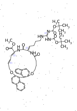 COC(=O)/C1=C/C=C/COc2ccc3ccccc3c2-c2c(ccc3ccccc23)OCCCC(=O)N/C(=C\CCCN/C(=N/C(=O)OC(C)(C)C)NC(=O)OC(C)(C)C)C(=O)N1